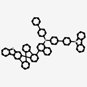 c1ccc(-c2ccc(N(c3ccc(-c4ccc(-n5c6ccccc6c6ccccc65)cc4)cc3)c3ccc(-c4cccc5c4-c4ccccc4C54c5ccccc5-c5cc6c(cc54)sc4ccccc46)c4ccccc34)cc2)cc1